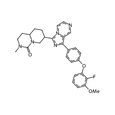 COc1cccc(Oc2ccc(-c3nc(C4CCC5CCN(C)C(=O)N5C4)n4ccncc34)cc2)c1F